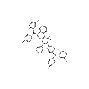 Cc1ccc(N(c2ccc3c4c(c5ccccc5c3c2)-c2cc(N(c3ccc(C)cc3)c3cc(C)ccc3C)c3ccccc3c2C4(C)C)c2cc(C)ccc2C)cc1